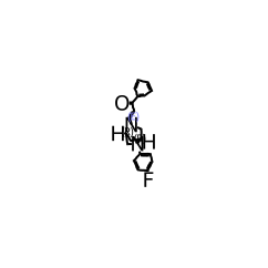 O=C(/C=C/N1C[C@H]2C[C@@H]1CN2c1ccc(F)cc1)c1ccccc1